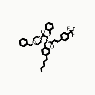 CCCCCc1ccc(CN(C(=O)/C=C/c2ccc(C(F)(F)F)cc2)[C@@H](Cc2ccccc2)C(=O)N2CCN(Cc3ccccc3)CC2)cc1